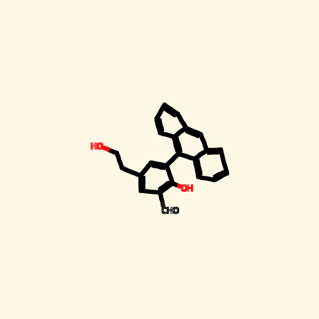 O=Cc1cc(CCO)cc(-c2c3ccccc3cc3ccccc23)c1O